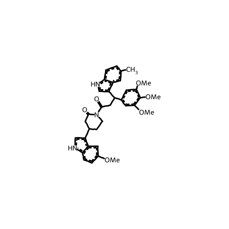 COc1ccc2[nH]cc(C3CCN(C(=O)CC(c4cc(OC)c(OC)c(OC)c4)c4c[nH]c5ccc(C)cc45)C(=O)C3)c2c1